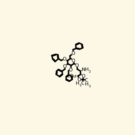 CCCC[C@H]1OC(C)(C)O[C@H]1[C@@H](N)COC1OC(COCc2ccccc2)C(OCc2ccccc2)C(OCc2ccccc2)C1OCc1ccccc1